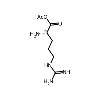 CC(=O)OC(=O)[C@@H](N)CCCNC(=N)N